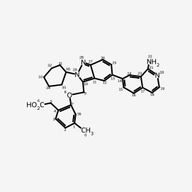 Cc1ccc(CC(=O)O)c(OCc2c3cc(-c4ccc5ccnc(N)c5c4)ccc3nn2C2CCCCC2)c1